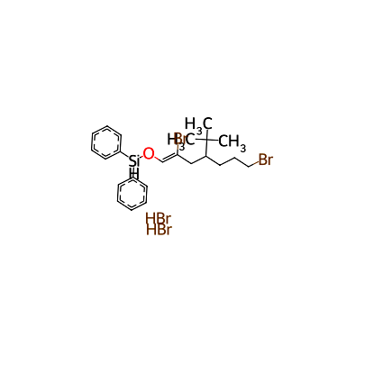 Br.Br.CC(C)(C)C(CCCBr)CC(Br)=CO[SiH](c1ccccc1)c1ccccc1